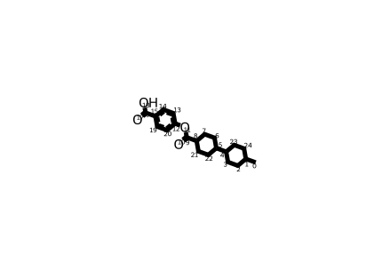 CC1CCC(C2CCC(C(=O)Oc3ccc(C(=O)O)cc3)CC2)CC1